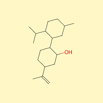 C=C(C)C1CCC(C2CC(C)CCC2C(C)C)C(O)C1